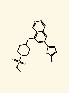 CCS(=O)(=O)N1CCC(Nc2cc(-c3ccc(C)o3)cc3ccncc23)CC1